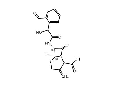 C=C1CS[C@H]2[C@H](NC(=O)C(O)c3ccccc3C=O)C(=O)N2C1C(=O)O